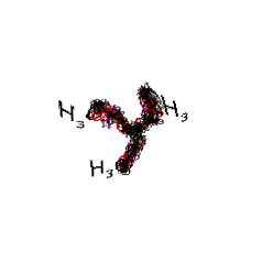 CCC1(OC(=O)COc2c(I)cc(COc3ccc4c(c3)-c3cc(OCc5cc(I)c(OCC(=O)OC6(CC)CCCC6)c(I)c5)ccc3[SH]4c3ccc(Oc4cc(I)c(OCC(=O)OC5(CC)CCCC5)c(I)c4)cc3)cc2I)CCCC1